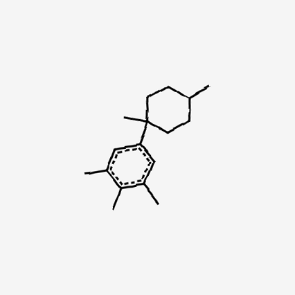 Cc1cc(C2(C)CCC(C)CC2)cc(C)c1C